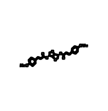 COc1ccc(/C=C/C(=O)O[C@@H]2COC3C2OC[C@H]3OC(=O)/C=C/c2ccc(OC)cc2)cc1